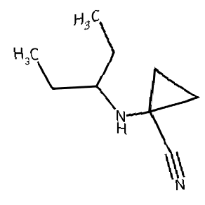 CCC(CC)NC1(C#N)CC1